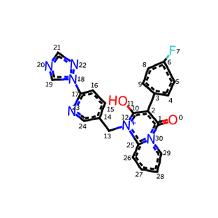 O=c1c(-c2ccc(F)cc2)c(O)[n+](Cc2ccc(-n3cncn3)nc2)c2ccccn12